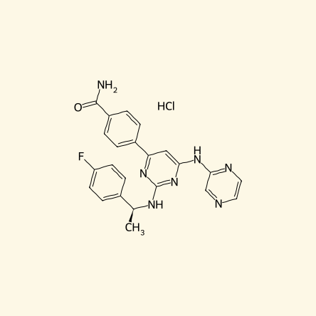 C[C@H](Nc1nc(Nc2cnccn2)cc(-c2ccc(C(N)=O)cc2)n1)c1ccc(F)cc1.Cl